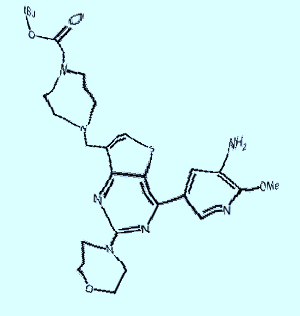 COc1ncc(-c2nc(N3CCOCC3)nc3c(CN4CCN(C(=O)OC(C)(C)C)CC4)csc23)cc1N